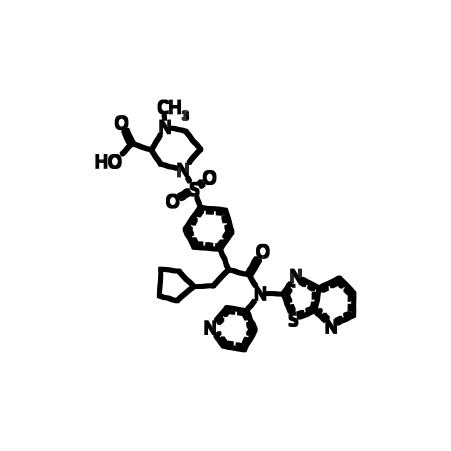 CN1CCN(S(=O)(=O)c2ccc(C(CC3CCCC3)C(=O)N(c3cccnc3)c3nc4cccnc4s3)cc2)CC1C(=O)O